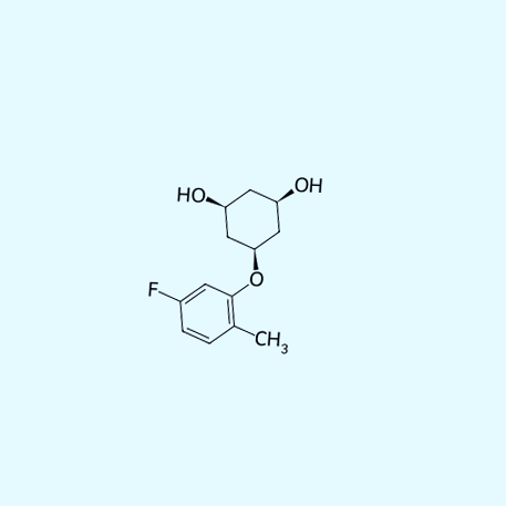 Cc1ccc(F)cc1O[C@@H]1C[C@H](O)C[C@H](O)C1